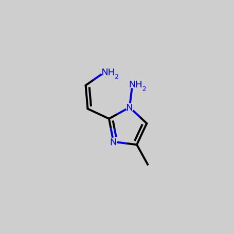 Cc1cn(N)c(/C=C\N)n1